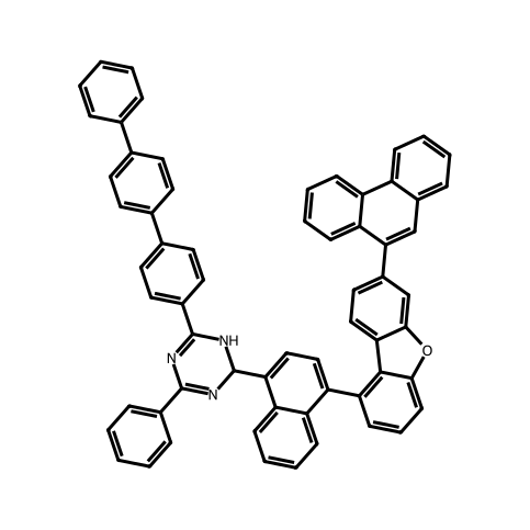 c1ccc(C2=NC(c3ccc(-c4cccc5oc6cc(-c7cc8ccccc8c8ccccc78)ccc6c45)c4ccccc34)NC(c3ccc(-c4ccc(-c5ccccc5)cc4)cc3)=N2)cc1